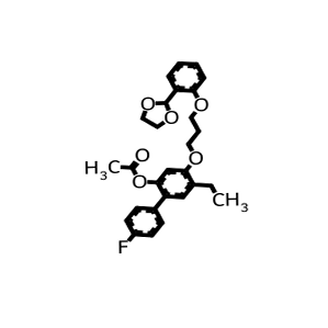 CCc1cc(-c2ccc(F)cc2)c(OC(C)=O)cc1OCCCOc1ccccc1C1OCCO1